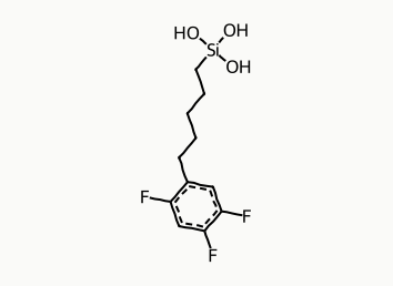 O[Si](O)(O)CCCCCc1cc(F)c(F)cc1F